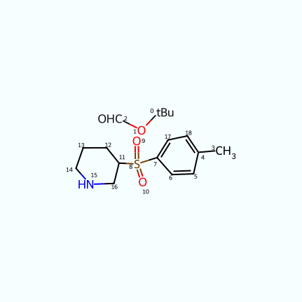 CC(C)(C)OC=O.Cc1ccc(S(=O)(=O)C2CCCNC2)cc1